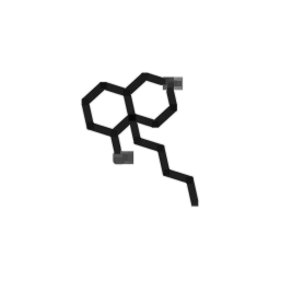 CCCCCC12CCNCC1CCCC2O